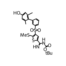 CSc1sc(C(=N)NC(=O)OC(C)(C)C)cc1S(=O)(=O)c1cccc(-c2c(C)cc(O)cc2C)c1